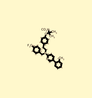 Cc1ccccc1-c1ccc(N(CCc2ccc(OC(C)(C)C(=O)O)cc2)Cc2ccc(C(F)(F)F)cc2)nc1